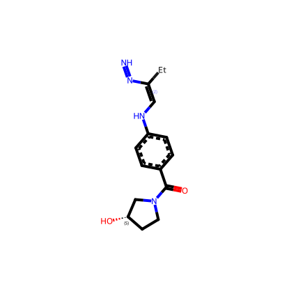 CC/C(=C/Nc1ccc(C(=O)N2CC[C@H](O)C2)cc1)N=N